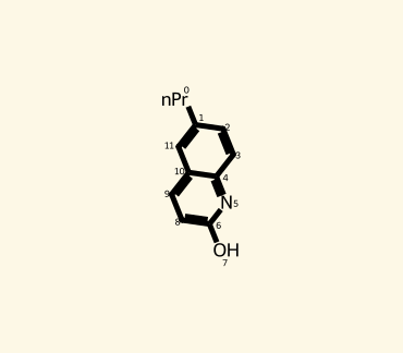 CCCc1ccc2nc(O)ccc2c1